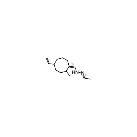 C=CC1CCC/C(=C/N/N=C/C)C(C)CC1